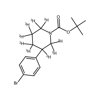 [2H]C1([2H])N(C(=O)OC(C)(C)C)C([2H])([2H])C([2H])(c2ccc(Br)cc2)C([2H])([2H])C1([2H])[2H]